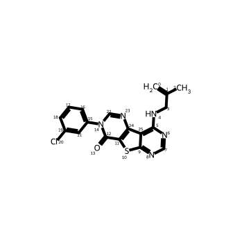 C=C(C)CNc1ncnc2sc3c(=O)n(-c4cccc(Cl)c4)cnc3c12